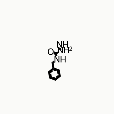 NNC(=O)NCc1ccccc1